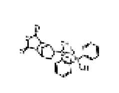 C[Si](C)(O[Si](O)(c1ccccc1)c1ccccc1)C1CC2CC1C1C(=O)OC(=O)C21